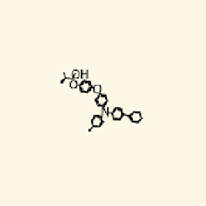 C=C(C)C(O)Oc1ccc(Oc2ccc(N(c3ccc(C)cc3)c3ccc(-c4ccccc4)cc3)cc2)cc1